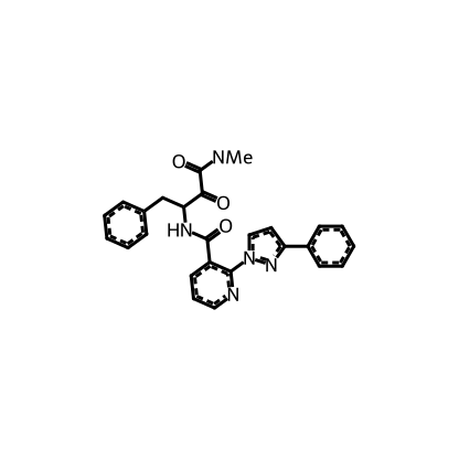 CNC(=O)C(=O)C(Cc1ccccc1)NC(=O)c1cccnc1-n1ccc(-c2ccccc2)n1